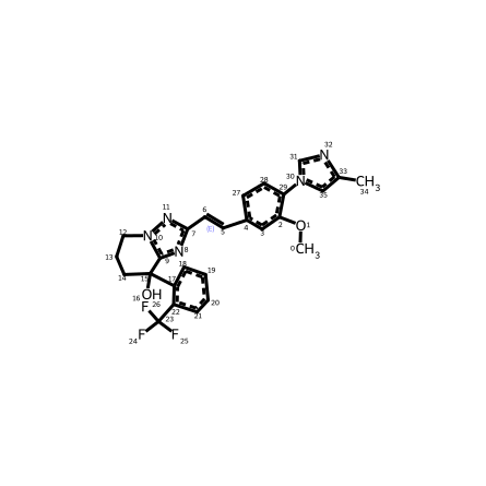 COc1cc(/C=C/c2nc3n(n2)CCCC3(O)c2ccccc2C(F)(F)F)ccc1-n1cnc(C)c1